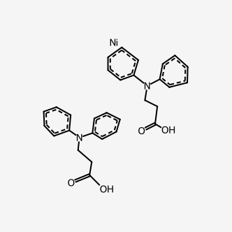 O=C(O)CCN(c1ccccc1)c1ccccc1.O=C(O)CCN(c1ccccc1)c1ccccc1.[Ni]